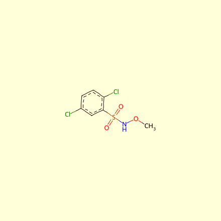 CONS(=O)(=O)c1cc(Cl)ccc1Cl